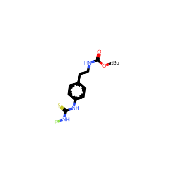 CC(C)(C)OC(=O)NCCc1ccc(NC(=S)NF)cc1